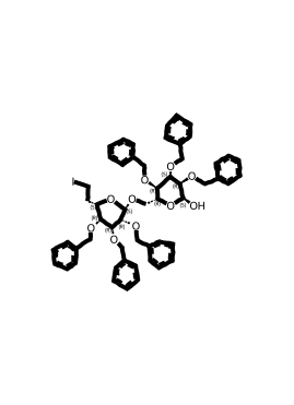 O[C@H]1O[C@H](CO[C@H]2O[C@@H](CCI)[C@@H](OCc3ccccc3)[C@@H](OCc3ccccc3)[C@H]2OCc2ccccc2)[C@@H](OCc2ccccc2)[C@H](OCc2ccccc2)[C@H]1OCc1ccccc1